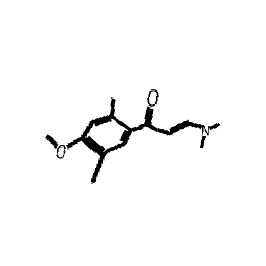 COc1cc(C)c(C(=O)C=CN(C)C)cc1C